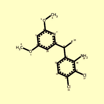 COc1cc(OC)nc(C(F)c2ccc(Cl)c(Cl)c2N)c1